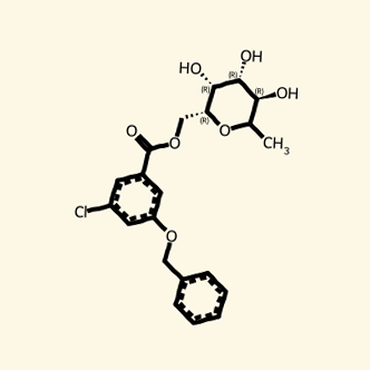 CC1O[C@H](COC(=O)c2cc(Cl)cc(OCc3ccccc3)c2)[C@H](O)[C@H](O)[C@H]1O